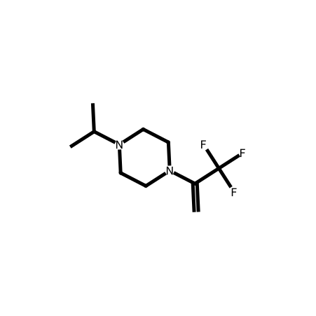 C=C(N1CCN(C(C)C)CC1)C(F)(F)F